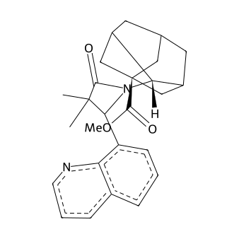 COC(=O)[C@]12CC3CC(C1)[C@@H](N1C(=O)C(C)(C)C1c1cccc4cccnc14)C(C3)C2